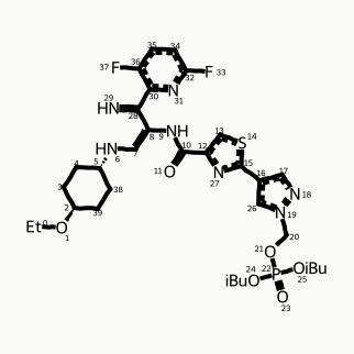 CCO[C@H]1CC[C@H](N/C=C(/NC(=O)c2csc(-c3cnn(COP(=O)(OCC(C)C)OCC(C)C)c3)n2)C(=N)c2nc(F)ccc2F)CC1